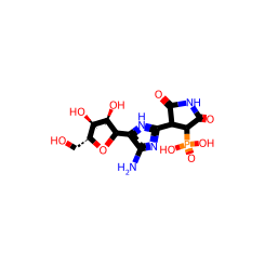 Nc1nc(C2C(=O)NC(=O)C2P(=O)(O)O)[nH]c1C1O[C@H](CO)[C@@H](O)[C@H]1O